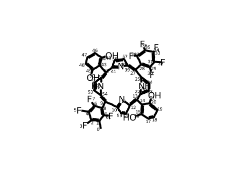 Cc1c(F)c(F)c(F)c(-c2c3nc(c(-c4c(O)cccc4O)c4ccc([nH]4)c(-c4c(F)c(F)c(F)c(F)c4F)c4nc(c(-c5c(O)cccc5O)c5ccc2[nH]5)C=C4)C=C3)c1F